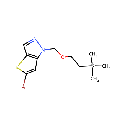 C[Si](C)(C)CCOCn1ncc2sc(Br)cc21